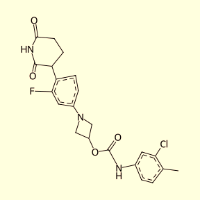 Cc1ccc(NC(=O)OC2CN(c3ccc(C4CCC(=O)NC4=O)c(F)c3)C2)cc1Cl